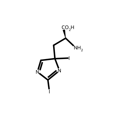 N[C@@H](CC1(I)C=NC(I)=N1)C(=O)O